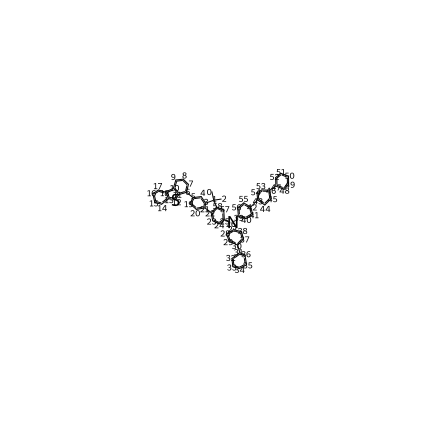 CC1(C)c2cc(-c3cccc4c3sc3ccccc34)ccc2-c2ccc(N(c3ccc(-c4ccccc4)cc3)c3ccc(-c4ccc(-c5ccccc5)cc4)cc3)cc21